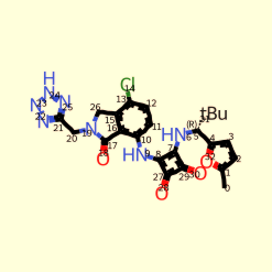 Cc1ccc([C@H](Nc2c(Nc3ccc(Cl)c4c3C(=O)N(Cc3nn[nH]n3)C4)c(=O)c2=O)C(C)(C)C)o1